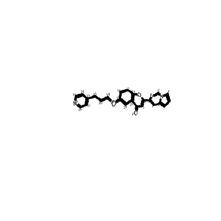 O=c1cc(-c2cc3cccn3cn2)oc2ccc(OCCCc3ccncc3)cc12